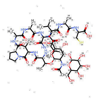 CC(=O)NC1[C@@H](OC(C)[C@H](N)C(=O)NC(C(=O)N2CCC[C@H]2C(=O)NC(C)C(=O)N[C@@H](C)C(=O)NC(C(=O)N[C@H](C(=O)NC(C(=O)N[C@@H](C)C(=O)NC(CS)C(=O)O)C(C)C)C(C)C)C(C)C)C(C)C)OC(CO)[C@H](O)[C@@H]1O[C@@H]1OC(CO)[C@H](O)C(O)[C@@H]1O